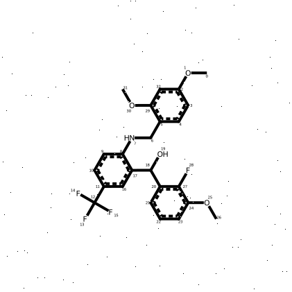 COc1ccc(CNc2ccc(C(F)(F)F)cc2C(O)c2cccc(OC)c2F)c(OC)c1